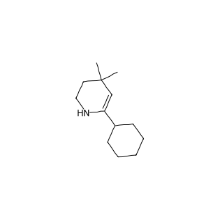 CC1(C)C=C(C2CCCCC2)NCC1